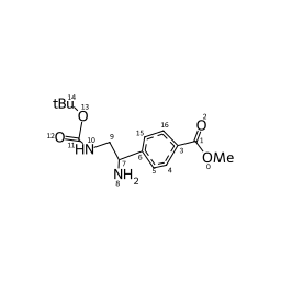 COC(=O)c1ccc(C(N)CNC(=O)OC(C)(C)C)cc1